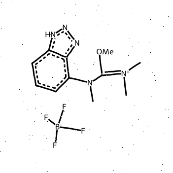 COC(N(C)c1cccc2[nH]nnc12)=[N+](C)C.F[B-](F)(F)F